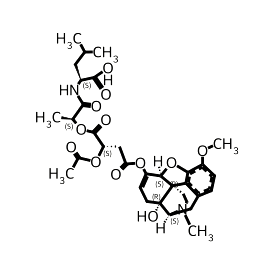 COc1ccc2c3c1O[C@@H]1C(OC(=O)C[C@H](OC(C)=O)C(=O)O[C@@H](C)C(=O)N[C@@H](CC(C)C)C(=O)O)=CC[C@]4(O)[C@H](C2)N(C)CC[C@@]314